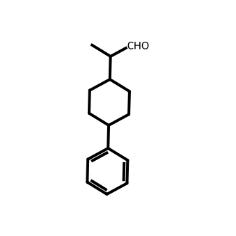 CC(C=O)C1CCC(c2ccccc2)CC1